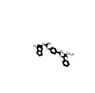 CC(C)C(Oc1ccc(C(=O)OC(c2ccccc2)C(F)(F)C(=O)O)cc1)OC1C[C@H]2CC1C1CCCC12